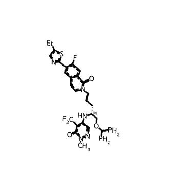 CCc1cnc(-c2cc3ccn(CCC[C@H](COC(P)P)Nc4cnn(C)c(=O)c4C(F)(F)F)c(=O)c3cc2F)s1